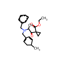 CCOC(=O)C1(C(=O)C(C)N(CC2=CCC(C)C=C2)Cc2ccccc2)CC1